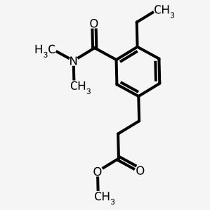 CCc1ccc(CCC(=O)OC)cc1C(=O)N(C)C